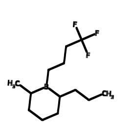 CCCC1CCCC(C)B1CCCC(F)(F)F